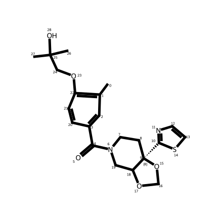 Cc1cc(C(=O)N2CC[C@@]3(c4nccs4)OCOC3C2)ccc1OCC(C)(C)O